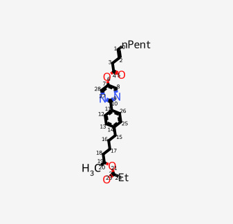 CCCCCC=CCC(=O)Oc1cnc(-c2ccc(CCCCC(C)OC(=O)CC)cc2)nc1